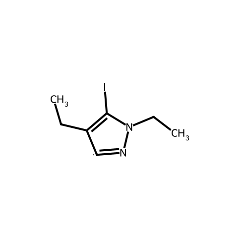 CCc1[c]nn(CC)c1I